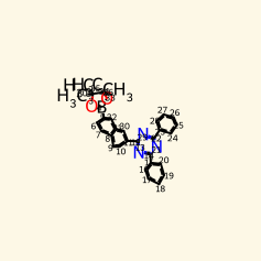 CC1(C)OB(c2ccc3ccc(-c4nc(-c5ccccc5)nc(-c5ccccc5)n4)cc3c2)OC1(C)C